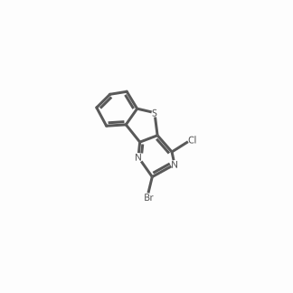 Clc1nc(Br)nc2c1sc1ccccc12